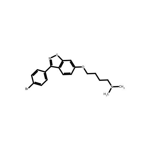 CN(C)CCCCOc1ccc2c(-c3ccc(Br)cc3)nsc2c1